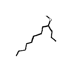 [CH2]OC(CCC)CCCCCCCC